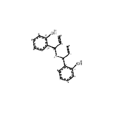 C=CC(SC(C=C)c1ccccc1O)c1ccccc1O